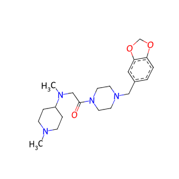 CN1CCC(N(C)CC(=O)N2CCN(Cc3ccc4c(c3)OCO4)CC2)CC1